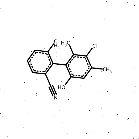 Cc1cc(O)c(-c2c(C)cccc2C#N)c(C)c1Cl